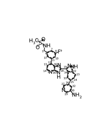 CS(=O)(=O)NCc1cc(F)cc(-c2ccnc3[nH]c(-c4n[nH]c5ccc(-c6cncc(N)c6)cc45)nc23)c1